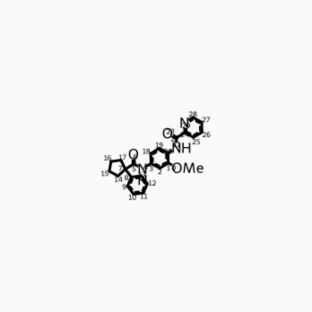 COc1cc(NC(=O)C2(c3ccccc3)CCCC2)ccc1NC(=O)c1ccccn1